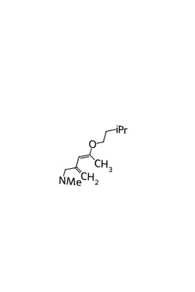 C=C(/C=C(\C)OCCC(C)C)CNC